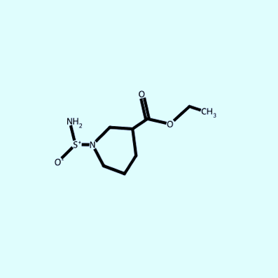 CCOC(=O)C1CCCN([S+](N)[O-])C1